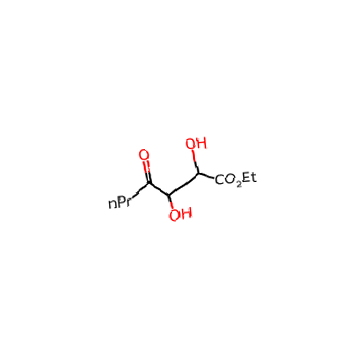 CCCC(=O)C(O)C(O)C(=O)OCC